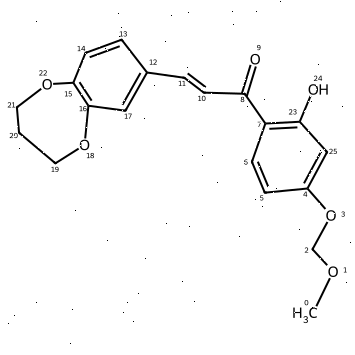 COCOc1ccc(C(=O)C=Cc2ccc3c(c2)OCCCO3)c(O)c1